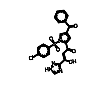 O=C(c1ccccc1)c1cc(C(=O)C=C(O)c2nc[nH]n2)n(S(=O)(=O)c2ccc(Cl)cc2)c1